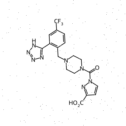 O=C(O)c1ccn(C(=O)N2CCN(Cc3ccc(C(F)(F)F)cc3-c3nnn[nH]3)CC2)n1